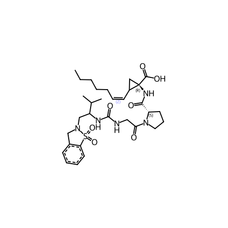 CCCCC/C=C\C1C[C@]1(NC(=O)[C@@H]1CCCN1C(=O)CNC(=O)NC(CN1Cc2ccccc2S1(=O)=O)C(C)C)C(=O)O